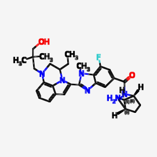 CCC1CN(CC(C)(C)CO)c2cccc3cc(-c4nc5cc(C(=O)N6C[C@H]7CC[C@@H]6[C@@H]7N)cc(F)c5n4C)n1c23